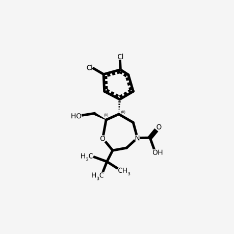 CC(C)(C)C1CN(C(=O)O)C[C@@H](c2ccc(Cl)c(Cl)c2)[C@H](CO)O1